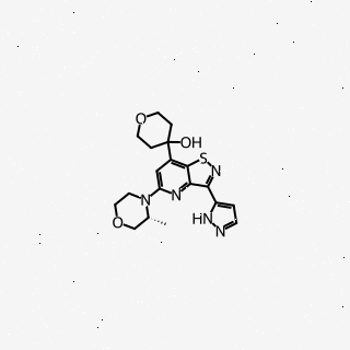 C[C@@H]1COCCN1c1cc(C2(O)CCOCC2)c2snc(-c3ccn[nH]3)c2n1